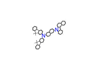 CC1(C)c2ccccc2-c2ccc(N(c3ccc4c(c3)C(C)(C)c3ccccc3-4)c3ccc4cc(-n5c6ccccc6c6c7ccccc7ccc65)ccc4c3)cc21